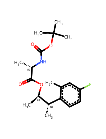 Cc1cc(F)ccc1[C@H](C)[C@@H](C)OC(=O)[C@H](C)NC(=O)OC(C)(C)C